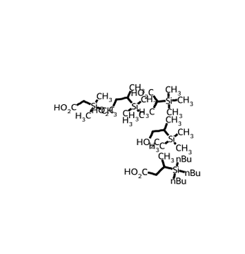 CC(C(=O)O)[Si](C)(C)C.CC(CC(=O)O)[Si](C)(C)C.CC(CC(=O)O)[Si](C)(C)C.CCCC[Si](CCCC)(CCCC)C(C)CC(=O)O.C[Si](C)(C)CC(=O)O